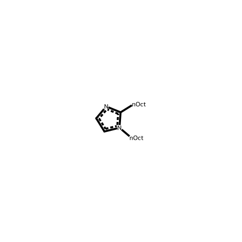 CCCCCCCCc1nccn1CCCCCCCC